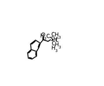 C[SH](C)(C)(C)CC(=O)c1ccc2ccccc2c1